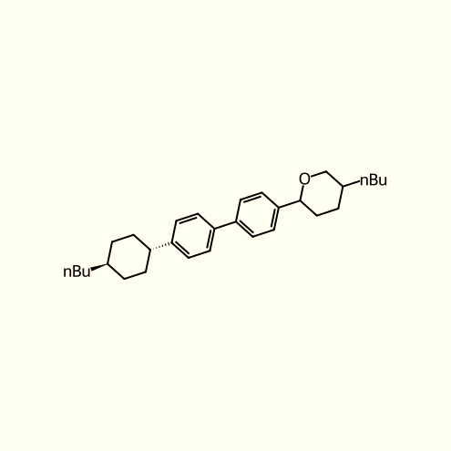 CCCCC1CCC(c2ccc(-c3ccc([C@H]4CC[C@H](CCCC)CC4)cc3)cc2)OC1